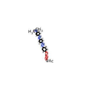 CC(=O)OOOCOc1ccc(N=Nc2ccc(N=Nc3ccc(N(C)C)cc3)cc2)cc1